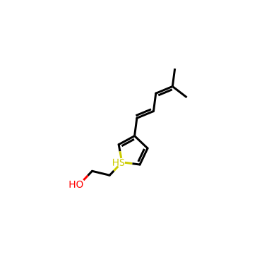 CC(C)=CC=CC1=C[SH](CCO)C=C1